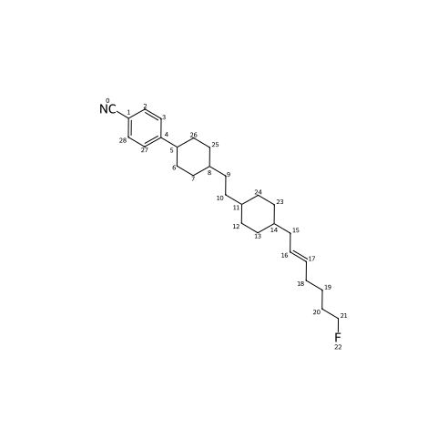 N#Cc1ccc(C2CCC(CCC3CCC(C/C=C/CCCCF)CC3)CC2)cc1